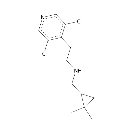 CC1(C)CC1CNCCc1c(Cl)cncc1Cl